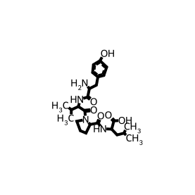 CC(C)CC(NC(=O)C1CCCN1C(=O)C(NC(=O)C(N)Cc1ccc(O)cc1)C(C)C)C(=O)O